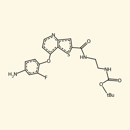 CC(C)(C)OC(=O)NCCNC(=O)c1cc2nccc(Oc3ccc(N)cc3F)c2s1